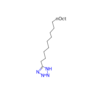 [CH2]CCCCCCCCCCCCCCCCc1nnn[nH]1